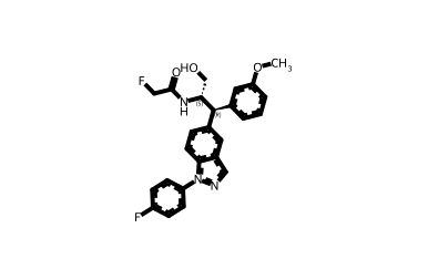 COc1cccc([C@@H](c2ccc3c(cnn3-c3ccc(F)cc3)c2)[C@@H](CO)NC(=O)CF)c1